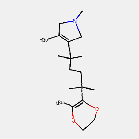 CN1CC(C(C)(C)C)=C(C(C)(C)CCC(C)(C)C2=C(C(C)(C)C)OCCO2)C1